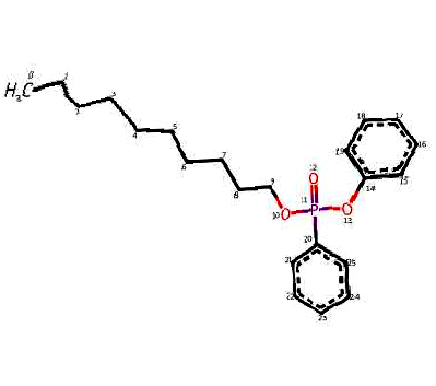 CCCCCCCCCCOP(=O)(Oc1ccccc1)c1ccccc1